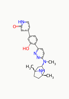 CN(c1ccc(-c2ccc(-c3cc[nH]c(=O)c3)cc2O)nn1)[C@H]1C[C@]2(C)CC[C@](C)(C1)N2